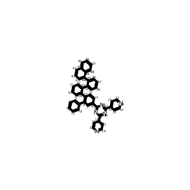 c1ccc(-c2cc(-c3nc(-c4ccncc4)nc(-c4ccncc4)n3)ccc2-c2ccccc2-c2ccccc2-c2cccc3ccccc23)cc1